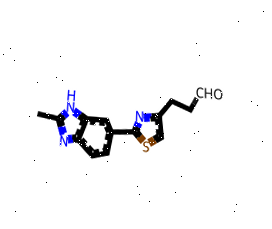 Cc1nc2ccc(-c3nc(CCC=O)cs3)cc2[nH]1